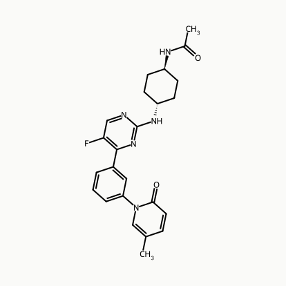 CC(=O)N[C@H]1CC[C@H](Nc2ncc(F)c(-c3cccc(-n4cc(C)ccc4=O)c3)n2)CC1